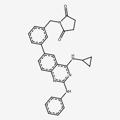 O=C1CCC(=O)N1Cc1cccc(-c2ccc3nc(Nc4ccccc4)nc(NC4CC4)c3c2)c1